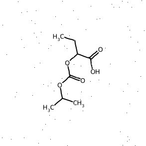 CCC(OC(=O)OC(C)C)C(=O)O